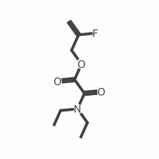 C=C(F)COC(=O)C(=O)N(CC)CC